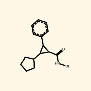 O=C(NO)C1C(c2ccccc2)C1C1CCCC1